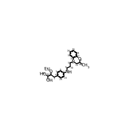 CCOC(Cc1ccc(NCCCN2CC(C)Oc3ccccc32)cc1)C(O)O